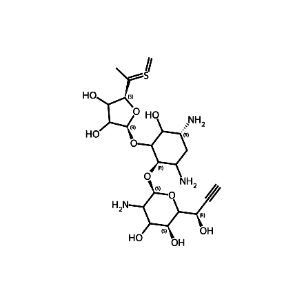 C#C[C@@H](O)C1O[C@H](O[C@@H]2C(N)C[C@@H](N)C(O)C2O[C@@H]2O[C@H](C(C)=S=C)C(O)C2O)C(N)C(O)[C@@H]1O